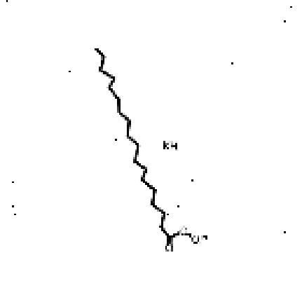 CCCCCCCCCCCCCCCCCC(=O)OO.[KH]